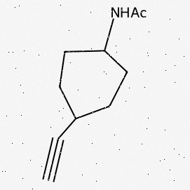 C#CC1CCC(NC(C)=O)CC1